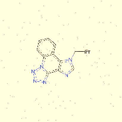 CC(C)Cn1cnc2c1c1ccccc1n1nnnc21